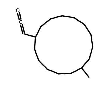 CC1CCCCCCCCC(C=C=O)CCCCC1